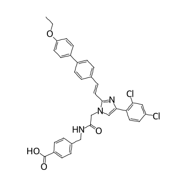 CCOc1ccc(-c2ccc(C=Cc3nc(-c4ccc(Cl)cc4Cl)cn3CC(=O)NCc3ccc(C(=O)O)cc3)cc2)cc1